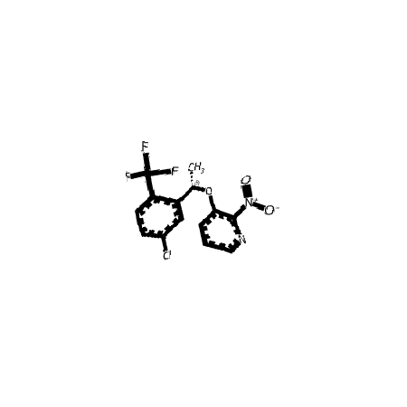 C[C@H](Oc1cccnc1[N+](=O)[O-])c1cc(Cl)ccc1C(F)(F)F